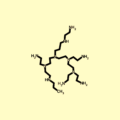 CCCNCCN(CCN)CCN(CCCNCCN)CCN(CCN)CCN(CCN)CCN